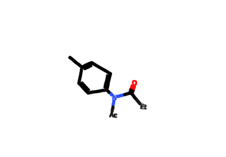 CCC(=O)N(C(C)=O)c1ccc(C)cc1